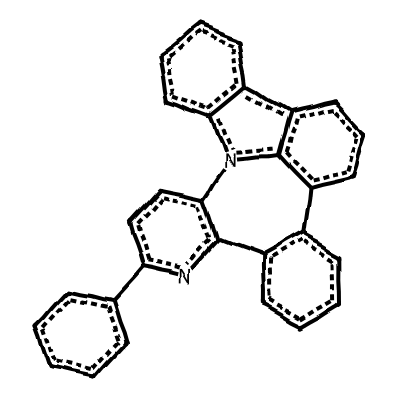 c1ccc(-c2ccc3c(n2)-c2ccccc2-c2cccc4c5ccccc5n-3c24)cc1